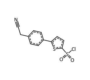 N#CCc1ccc(-c2ccc(S(=O)(=O)Cl)s2)cc1